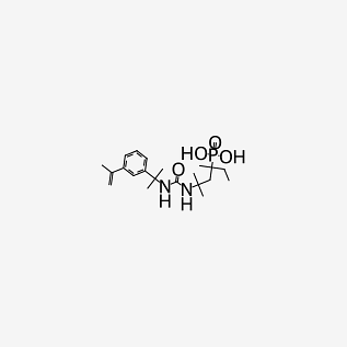 C=C(C)c1cccc(C(C)(C)NC(=O)NC(C)(C)CC(C)(CC)P(=O)(O)O)c1